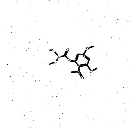 COc1cc(OC)c(C(C)=O)c(OC(=O)N(SC)SC)c1